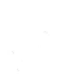 CCCCC(CC)CN(/C=C/C=C(N)N)CC(CC)CCCC